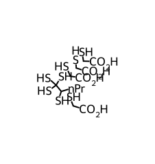 CCCC(S)C(S)(S)S.O=C(O)CS.O=C(O)CS.O=C(O)CS.O=C(O)CS